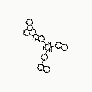 c1ccc2c(c1)-c1cccc3c1c-2cc1c2ccc(-c4nc(-c5ccc(-c6cccc7ccccc67)cc5)nc(-c5ccc6ccccc6c5)n4)cc2oc31